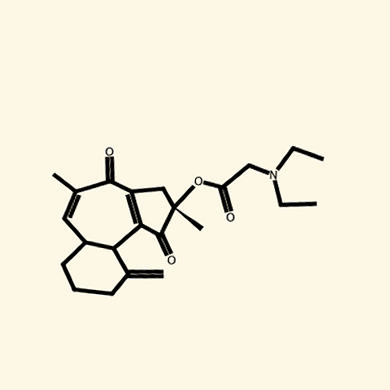 C=C1CCCC2C=C(C)C(=O)C3=C(C(=O)[C@@](C)(OC(=O)CN(CC)CC)C3)C12